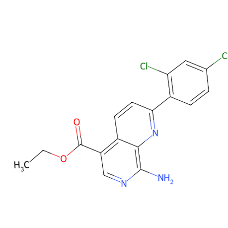 CCOC(=O)c1cnc(N)c2nc(-c3ccc(Cl)cc3Cl)ccc12